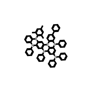 Cc1cc(C)c(B2c3ccccc3N(c3ccccc3)c3cc4c(cc32)B2c3ccc(-c5ccccc5)cc3N(c3ccccc3)c3cc(N(c5ccccc5)c5ccccc5)cc(c32)N4c2ccccc2)c(C)c1